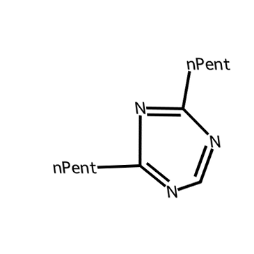 CCCCCc1ncnc(CCCCC)n1